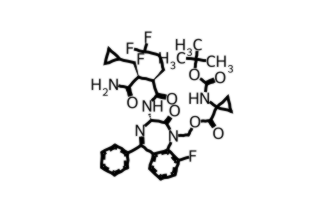 CC(C)(C)OC(=O)NC1(C(=O)OCN2C(=O)[C@@H](NC(=O)[C@H](CCC(F)(F)F)[C@H](CC3CC3)C(N)=O)N=C(c3ccccc3)c3cccc(F)c32)CC1